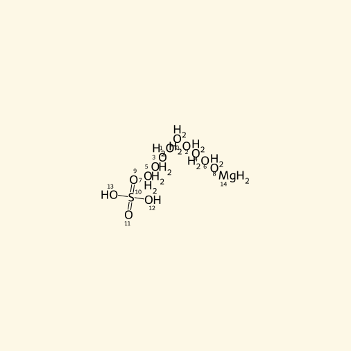 O.O.O.O.O.O.O.O.O.O=S(=O)(O)O.[MgH2]